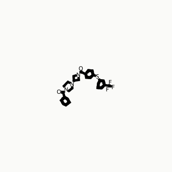 O=C(c1ccccc1)N1CCN(C2CN(C(=O)c3ccc(Sc4cccc(C(F)(F)F)c4)cc3)C2)CC1